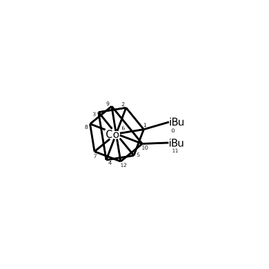 CCC(C)[C]12[CH]3[CH]4[CH]5[CH]1[Co]45321678[CH]2[CH]1[CH]6[C]7(C(C)CC)[CH]28